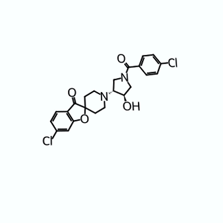 O=C(c1ccc(Cl)cc1)N1C[C@@H](O)[C@H](N2CCC3(CC2)Oc2cc(Cl)ccc2C3=O)C1